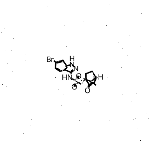 CC1(C)[C@H]2CC[C@]1(CS(=O)(=O)Nc1n[nH]c3cc(Br)ccc13)C(=O)C2